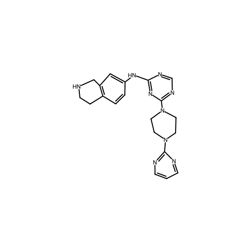 c1cnc(N2CCN(c3ncnc(Nc4ccc5c(c4)CNCC5)n3)CC2)nc1